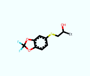 CCC(O)CSc1ccc2c(c1)OC(F)(F)O2